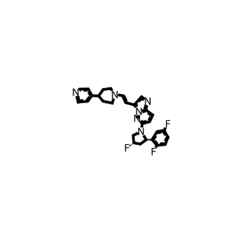 Fc1ccc(F)c([C@H]2C[C@H](F)CN2c2ccc3ncc(/C=C/N4CCC(c5ccncc5)CC4)n3n2)c1